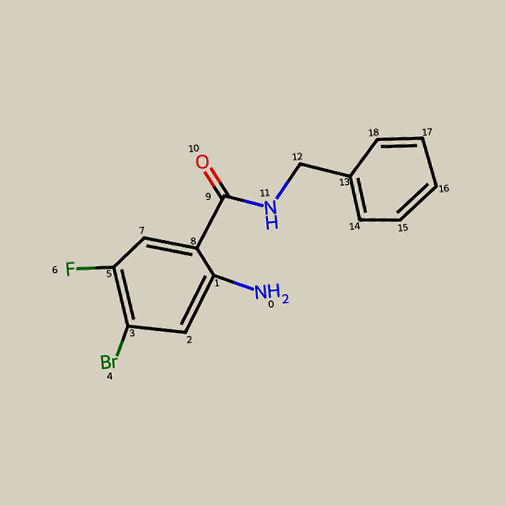 Nc1cc(Br)c(F)cc1C(=O)NCc1ccccc1